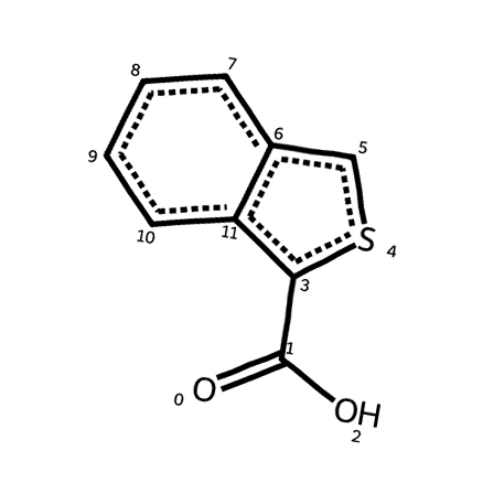 O=C(O)c1scc2ccccc12